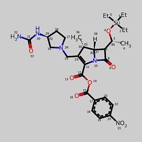 CC[Si](CC)(CC)O[C@H](C)C1C(=O)N2C(C(=O)OC(=O)c3ccc([N+](=O)[O-])cc3)=C(CN3CC[C@H](NC(N)=O)C3)[C@H](C)[C@H]12